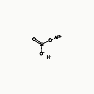 O=[Si]([O-])[O-].[Al+3].[H-]